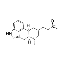 CN1CC(CC[S+](C)[O-])C[C@@H]2c3cccc4[nH]cc(c34)C[C@H]21